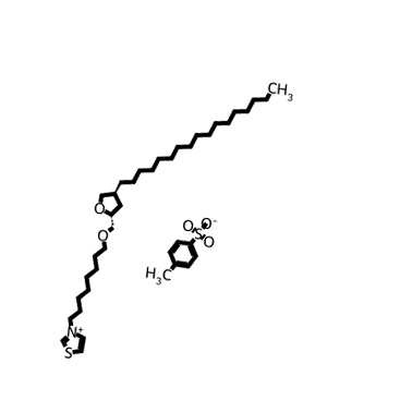 CCCCCCCCCCCCCCCCC[C@@H]1CO[C@@H](COCCCCCCCC[n+]2ccsc2)C1.Cc1ccc(S(=O)(=O)[O-])cc1